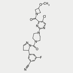 COC1CN(C(=O)c2nc(N3CCN(C(=O)N4N=CCC4c4cc(F)cc(C#N)c4)CC3)ncc2Cl)C1